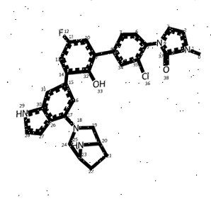 Cn1ccn(-c2ccc(-c3cc(F)cc(-c4cc(N5CC6CCC(C5)N6)c5cc[nH]c5c4)c3O)cc2Cl)c1=O